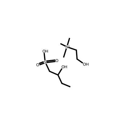 CCC(O)CS(=O)(=O)O.C[N+](C)(C)CCO